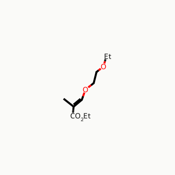 CCOCCOC=C(C)C(=O)OCC